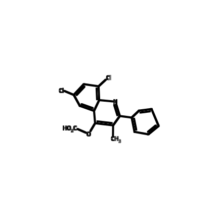 Cc1c(-c2ccccc2)nc2c(Cl)cc(Cl)cc2c1OC(=O)O